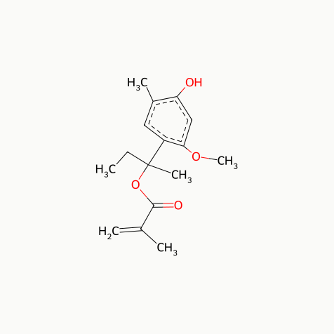 C=C(C)C(=O)OC(C)(CC)c1cc(C)c(O)cc1OC